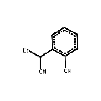 CCC(C#N)c1ccccc1C#N